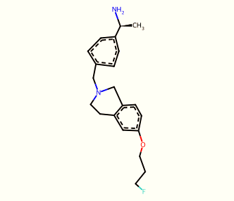 C[C@H](N)c1ccc(CN2CCc3cc(OCCCF)ccc3C2)cc1